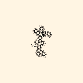 N#Cc1ccc(-c2ccc(-c3nc(-c4ccccc4)nc(-c4ccccc4-c4cccc5ccccc45)n3)cc2)c(-c2ccccc2-c2cccc(-c3cc4ccccc4c4ccccc34)c2)c1